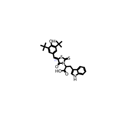 CC(C)(C)c1cc(/C=C2\SC(=S)N(C(Cc3c[nH]c4ccccc34)C(=O)O)C2=O)cc(C(C)(C)C)c1O